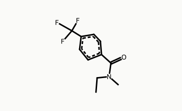 CCN(C)C(=O)c1ccc(C(F)(F)F)cc1